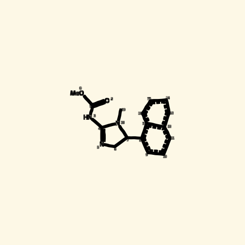 COC(=O)NC1=NCC(c2cccc3ccccc23)N1C